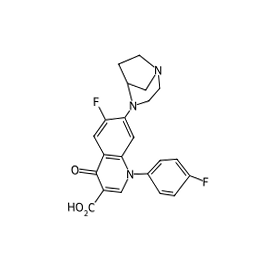 O=C(O)c1cn(-c2ccc(F)cc2)c2cc(N3CCN4CCC3C4)c(F)cc2c1=O